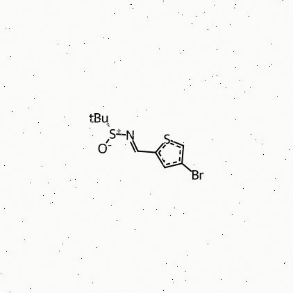 CC(C)(C)[S@@+]([O-])N=Cc1cc(Br)cs1